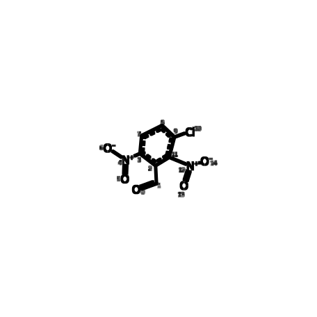 O=Cc1c([N+](=O)[O-])ccc(Cl)c1[N+](=O)[O-]